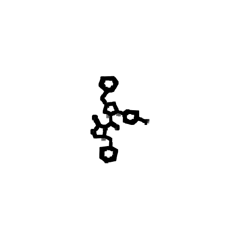 O=C1OC[C@H](Cc2ccccc2)N1C(=O)[C@H]1CN(Cc2ccccc2)C[C@H]1c1ccc(F)cc1